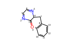 O=C1N=CC=NC1Cc1ccccc1